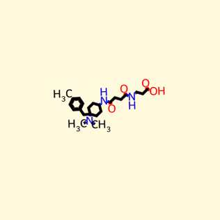 Cc1ccc(CC2(N(C)C)CCC(NC(=O)CCC(=O)NCCC(=O)O)CC2)cc1